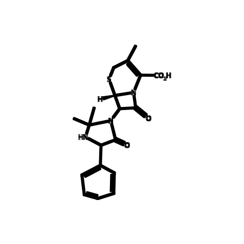 CC1=C(C(=O)O)N2C(=O)C(N3C(=O)C(c4ccccc4)NC3(C)C)[C@@H]2SC1